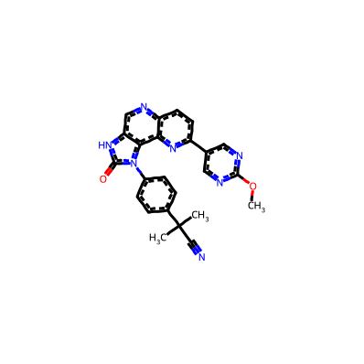 COc1ncc(-c2ccc3ncc4[nH]c(=O)n(-c5ccc(C(C)(C)C#N)cc5)c4c3n2)cn1